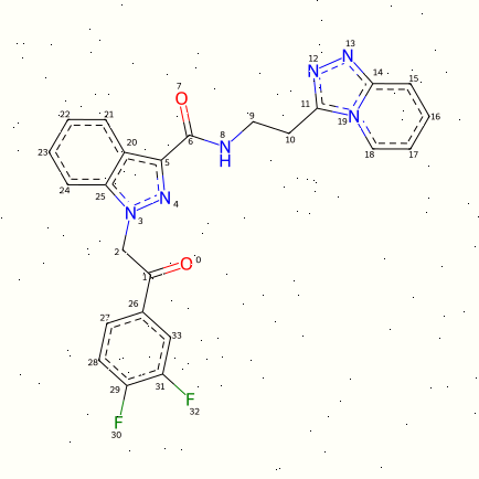 O=C(Cn1nc(C(=O)NCCc2nnc3ccccn23)c2ccccc21)c1ccc(F)c(F)c1